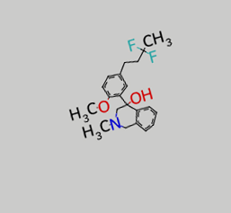 COc1ccc(CCC(C)(F)F)cc1C1(O)CN(C)Cc2ccccc21